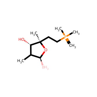 B[C@@H]1O[C@](C)(CCP(=C)(C)C)[C@@H](O)C1C